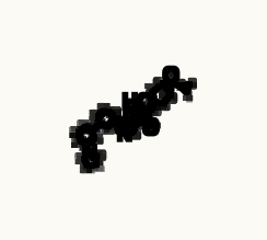 O=C(C1CC1)N1CCC(O)(Cn2cnc3c(cnn3-c3cccc(-c4cccc(N5CCCC5)c4)c3)c2=O)CC1